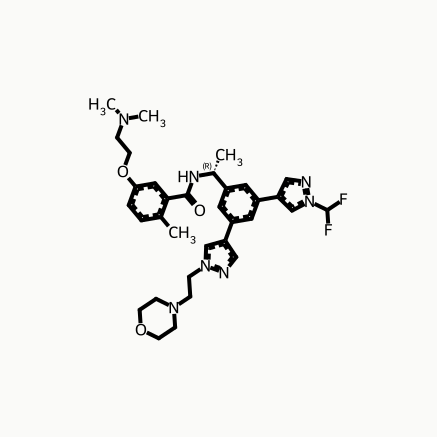 Cc1ccc(OCCN(C)C)cc1C(=O)N[C@H](C)c1cc(-c2cnn(CCN3CCOCC3)c2)cc(-c2cnn(C(F)F)c2)c1